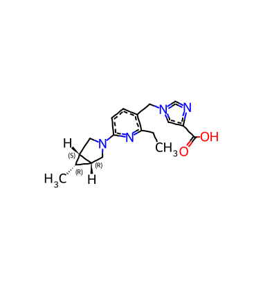 CCc1nc(N2C[C@@H]3[C@H](C)[C@@H]3C2)ccc1Cn1cnc(C(=O)O)c1